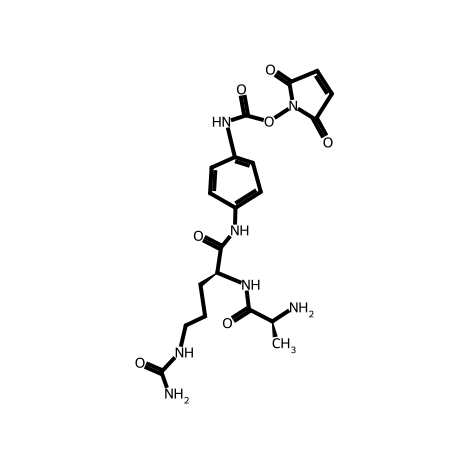 C[C@H](N)C(=O)N[C@@H](CCCNC(N)=O)C(=O)Nc1ccc(NC(=O)ON2C(=O)C=CC2=O)cc1